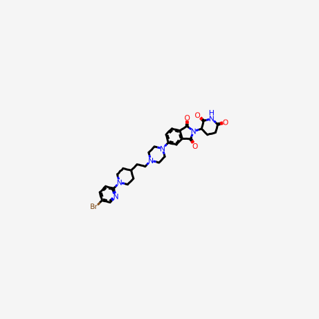 O=C1CCC(N2C(=O)c3ccc(N4CCN(CCC5CCN(c6ccc(Br)cn6)CC5)CC4)cc3C2=O)C(=O)N1